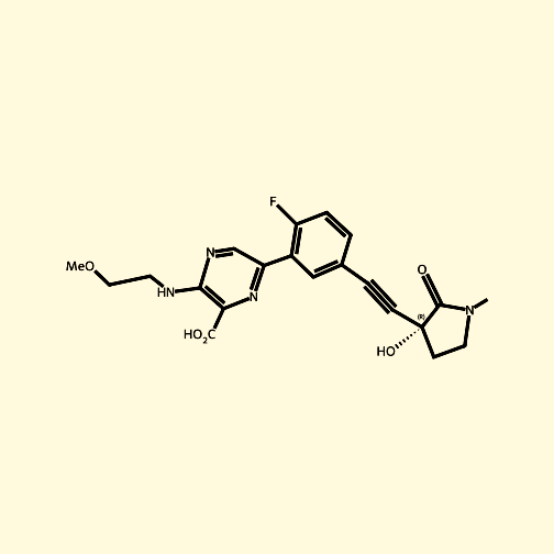 COCCNc1ncc(-c2cc(C#C[C@]3(O)CCN(C)C3=O)ccc2F)nc1C(=O)O